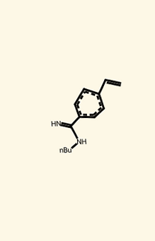 C=Cc1ccc(C(=N)NCCCC)cc1